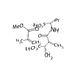 C=C(C(=C)C(=O)OCC)C(=O)NC(C(C)C)S(=O)(=O)O.C=C(C)C(=O)OC